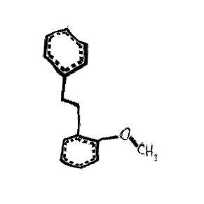 COc1ccccc1CCc1cc[c]cc1